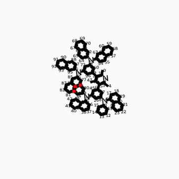 Cc1nc(C)c(-c2cc(N(c3ccccc3)c3cccc4ccccc34)cc(N(c3ccccc3)c3cccc4ccccc34)c2)c(C)c1-c1cc(N(c2ccc3ccccc3c2)c2ccc3ccccc3c2)cc(N(c2ccc3ccccc3c2)c2ccc3ccccc3c2)c1